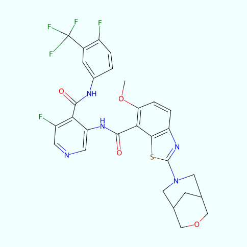 COc1ccc2nc(N3CC4COCC(C4)C3)sc2c1C(=O)Nc1cncc(F)c1C(=O)Nc1ccc(F)c(C(F)(F)F)c1